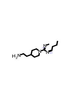 CCC/C=N\C(=N/C)N1CCC(CCN)CC1